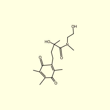 CC1=C(C)C(=O)C(CCC(C)(O)C(=O)N(C)CCO)=C(C)C1=O